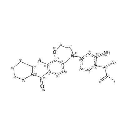 C=C(C)C(=O)n1ccc(N2CCOc3c2ccc(C(=O)N2CCCCC2)c3Cl)cc1=N